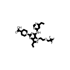 CCc1cc(Nc2nc(N3CCC(C(=O)O)CC3)nc3c(CC)nn(CCOCC(F)(F)F)c23)ncn1